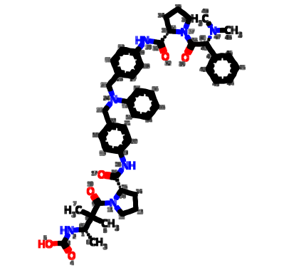 C[C@H](NC(=O)O)C(C)(C)C(=O)N1CCC[C@H]1C(=O)Nc1ccc(CN(Cc2ccc(NC(=O)[C@@H]3CCCN3C(=O)[C@@H](c3ccccc3)N(C)C)cc2)c2ccccc2)cc1